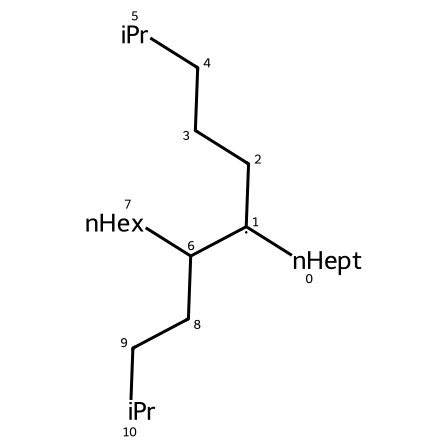 CCCCCCC[C](CCCC(C)C)C(CCCCCC)CCC(C)C